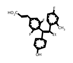 CC/C(=C(\c1ccc(O)cc1)c1c(F)cc(/C=C/C(=O)O)cc1F)c1ccc(F)cc1C